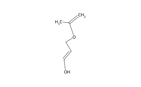 C=C(C)OCC=CO